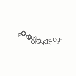 C[C@H]1CN(Cc2ccc(N(C)C(=O)c3ccc(-c4cccc(F)c4)nc3)nc2)CCN1C(=O)O